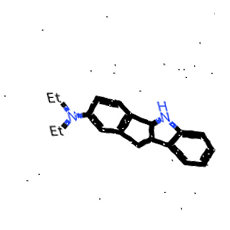 CCN(CC)c1ccc2c(c1)CC1c3ccccc3NC21